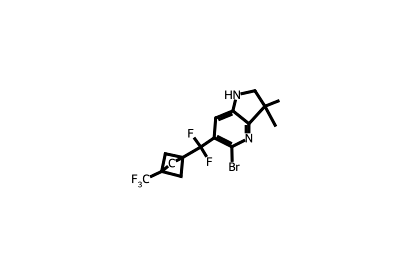 CC1(C)CNc2cc(C(F)(F)C34CC(C(F)(F)F)(C3)C4)c(Br)nc21